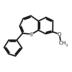 COc1ccc2c(c1)SC(c1cc[c]cc1)=CC=C2